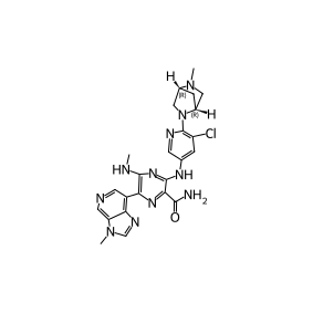 CNc1nc(Nc2cnc(N3C[C@H]4C[C@@H]3CN4C)c(Cl)c2)c(C(N)=O)nc1-c1cncc2c1ncn2C